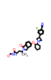 CC(CCC(=O)NC=O)N1Cc2cc(OC3CCCCC3N3CC(c4ccc(C#N)c(F)c4)C3)ccc2C1=O